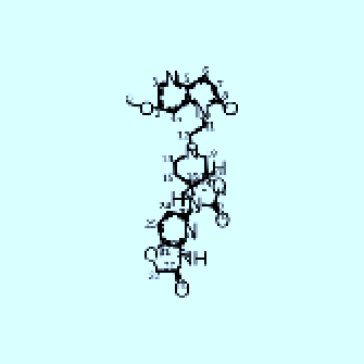 COc1cnc2ccc(=O)n(CCN3CC[C@@H]4[C@H](C3)OC(=O)N4c3ccc4c(n3)NC(=O)CO4)c2c1